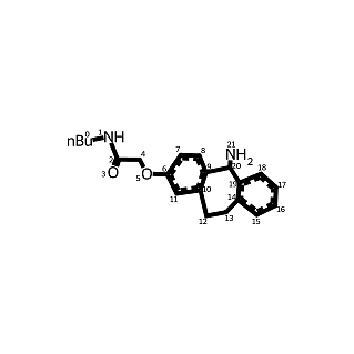 CCCCNC(=O)COc1ccc2c(c1)CCc1ccccc1C2N